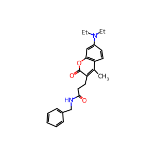 CCN(CC)c1ccc2c(C)c(CCC(=O)NCc3ccccc3)c(=O)oc2c1